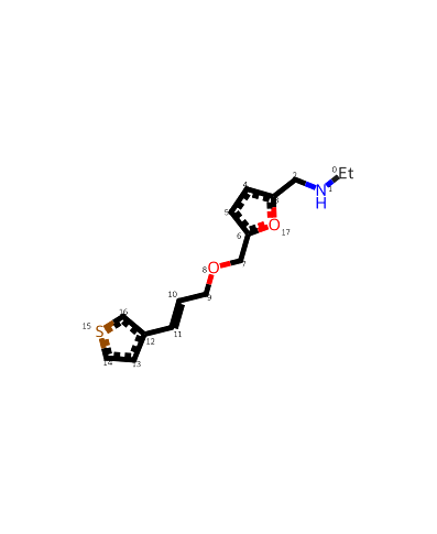 CCNCc1ccc(COCC=Cc2ccsc2)o1